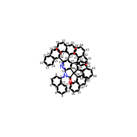 O=C1N(c2cccc3ccccc23)c2nc(-c3cccc4ccccc34)c(-c3cccc4ccccc34)c(-c3cccc4ccccc34)c2C1(c1cccc2ccccc12)c1cccc2ccccc12